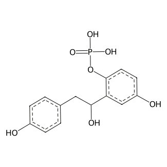 O=P(O)(O)Oc1ccc(O)cc1C(O)Cc1ccc(O)cc1